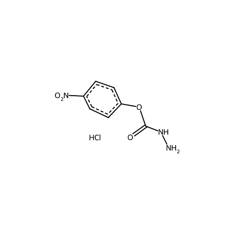 Cl.NNC(=O)Oc1ccc([N+](=O)[O-])cc1